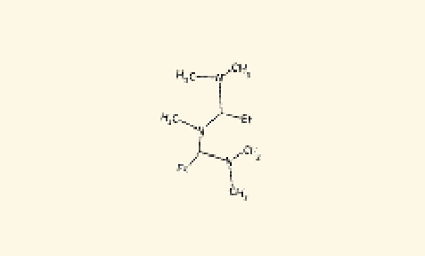 CCC(N(C)C)N(C)C(CC)N(C)C